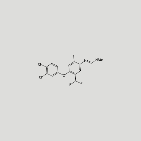 CNC=Nc1cc(C(F)F)c(Oc2ccc(Cl)c(Cl)c2)cc1C